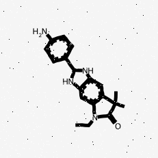 CCN1C(=O)C(C)(C)c2cc3c(cc21)NC(c1ccc(N)cc1)N3